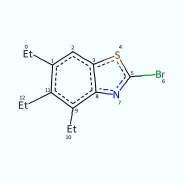 CCc1cc2sc(Br)nc2c(CC)c1CC